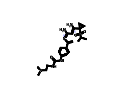 C=C(/N=C(N)\C=C(/N)C1(S(=O)(=O)C(C)C)CC1)c1ccc(NC(=O)NCCN(C)C)cc1